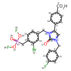 O=C(O)c1ccc(-c2cn(Cc3ccc(F)cc3)c(=O)n2Cc2ccc(CP(=O)(OF)OF)c(Br)c2)cc1